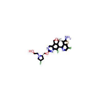 N#Cc1c(N)sc2c(F)cnc(-c3c4c(c5cnc(OC[C@@H]6C[C@@H](F)CN6CCO)nc5c3F)COC4)c12